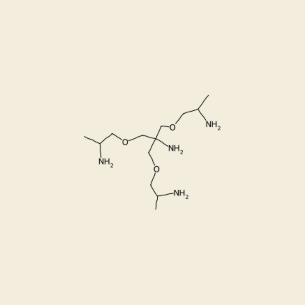 CC(N)COCC(N)(COCC(C)N)COCC(C)N